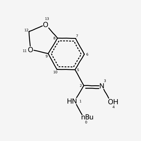 CCCCN/C(=N\O)c1ccc2c(c1)OCO2